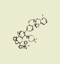 Cc1cccc(Cl)c1CN1CCc2cc(-c3cnc(Cl)c([C@H](OC(C)(C)C)C(=O)O)c3N3CCC(C)(C)CC3)ccc2C1